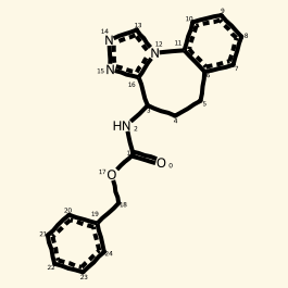 O=C(NC1CCc2ccccc2-n2cnnc21)OCc1ccccc1